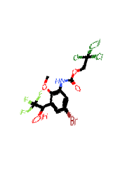 COc1c(NC(=O)OCC(Cl)(Cl)Cl)cc(Br)cc1C(O)C(F)(F)F